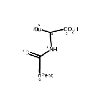 CCCCCC(=O)NC(C(=O)O)C(C)CC